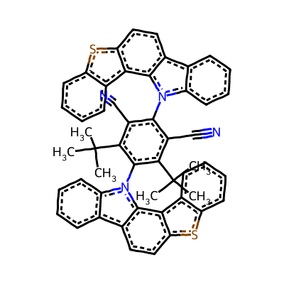 CC(C)(C)c1c(C#N)c(-n2c3ccccc3c3ccc4sc5ccccc5c4c32)c(C#N)c(C(C)(C)C)c1-n1c2ccccc2c2ccc3sc4ccccc4c3c21